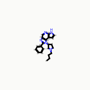 CCCCN1CCC(n2c(-c3ccccc3)nc3cnc4[nH]ccc4c32)C1